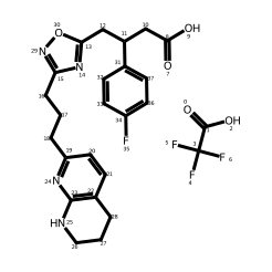 O=C(O)C(F)(F)F.O=C(O)CC(Cc1nc(CCCc2ccc3c(n2)NCCC3)no1)c1ccc(F)cc1